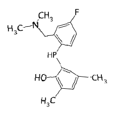 Cc1cc(C)c(O)c(Pc2ccc(F)cc2CN(C)C)c1